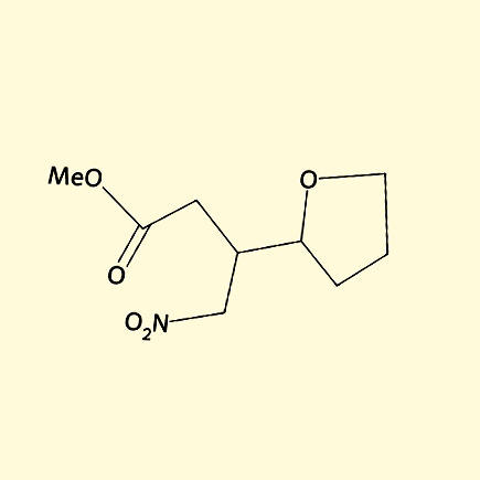 COC(=O)CC(C[N+](=O)[O-])C1CCCO1